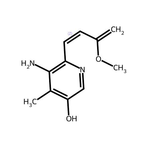 C=C(/C=C\c1ncc(O)c(C)c1N)OC